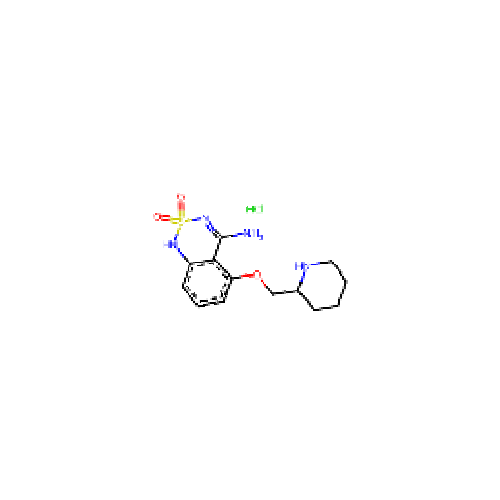 Cl.NC1=NS(=O)(=O)Nc2cccc(OCC3CCCCN3)c21